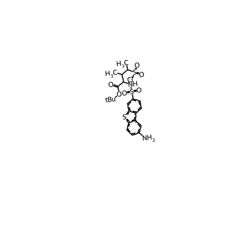 CC(C(NS(=O)(=O)c1ccc2c(c1)sc1ccc(N)cc12)C(=O)OC(C)(C)C)C(C)S(=O)(=O)Cl